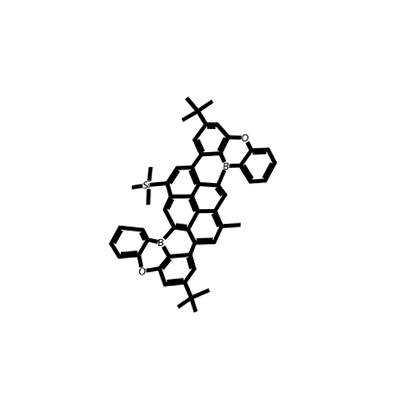 Cc1cc2c3c(cc4c([Si](C)(C)C)cc5c6c(cc1c3c46)B1c3ccccc3Oc3cc(C(C)(C)C)cc-5c31)B1c3ccccc3Oc3cc(C(C)(C)C)cc-2c31